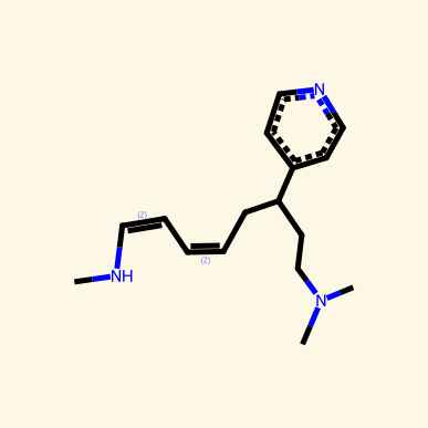 CN/C=C\C=C/CC(CCN(C)C)c1ccncc1